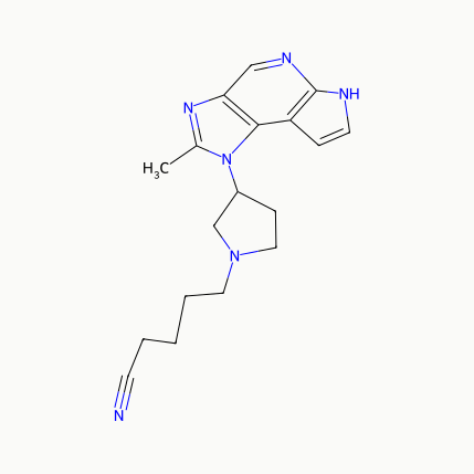 Cc1nc2cnc3[nH]ccc3c2n1C1CCN(CCCCC#N)C1